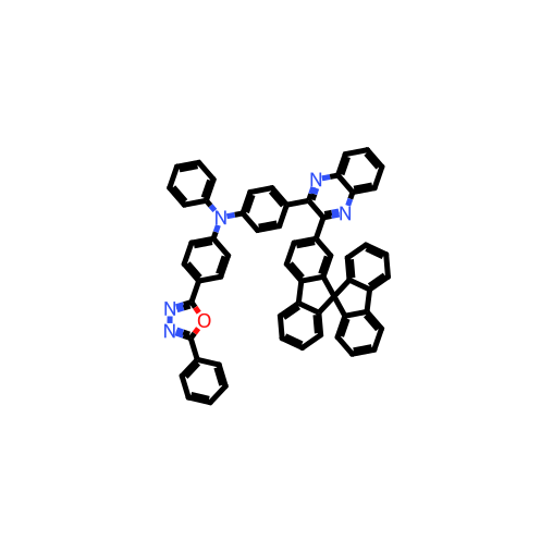 c1ccc(-c2nnc(-c3ccc(N(c4ccccc4)c4ccc(-c5nc6ccccc6nc5-c5ccc6c(c5)C5(c7ccccc7-c7ccccc75)c5ccccc5-6)cc4)cc3)o2)cc1